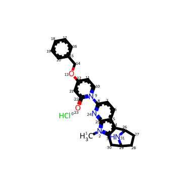 Cl.Cn1c2c(c3ccc(-n4ccc(OCc5ccccc5)cc4=O)nc31)C1CCC(C2)N1